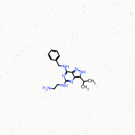 CC(C)c1[nH]nc2c(NCc3ccccc3)nc(NCCN)nc12